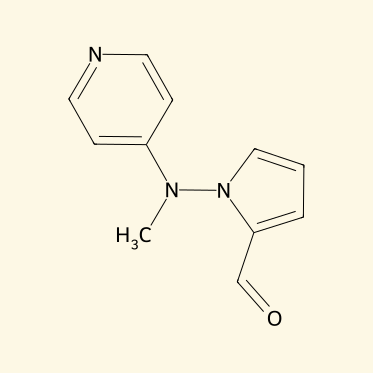 CN(c1ccncc1)n1cccc1C=O